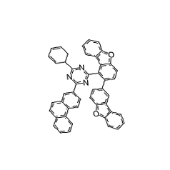 C1=CCC(c2nc(-c3ccc4c(ccc5ccccc54)c3)nc(-c3c(-c4ccc5oc6ccccc6c5c4)ccc4oc5ccccc5c34)n2)C=C1